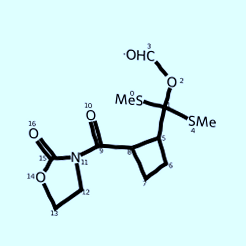 CSC(O[C]=O)(SC)C1CCC1C(=O)N1CCOC1=O